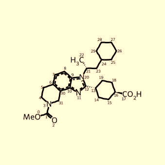 COC(=O)N1CCc2ccc3c(nc([C@H]4CC[C@H](C(=O)O)CC4)n3[C@H](C)CC3CCCCC3)c2C1